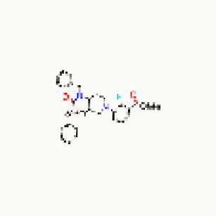 COC(=O)c1cccc(N2CCC(N(Cc3ccccc3)C(=O)OCc3ccccc3)C(OC)C2)c1F